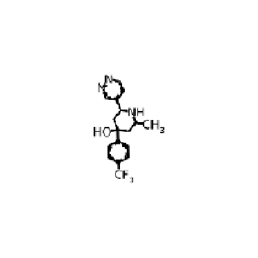 CC1CC(O)(c2ccc(C(F)(F)F)cc2)CC(c2ccnnc2)N1